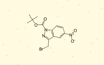 CC(C)(C)OC(=O)n1nc(CBr)c2cc([N+](=O)[O-])ccc21